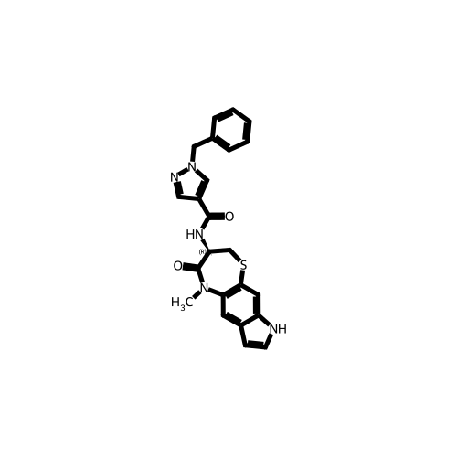 CN1C(=O)[C@@H](NC(=O)c2cnn(Cc3ccccc3)c2)CSc2cc3[nH]ccc3cc21